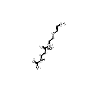 Cl.NCCOCCNC(=O)CCNC(=O)C(F)(F)F